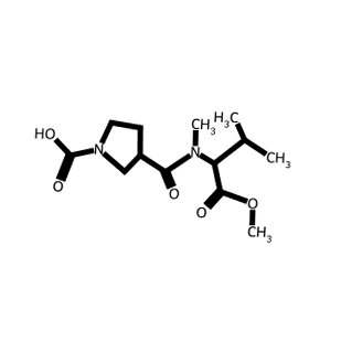 COC(=O)C(C(C)C)N(C)C(=O)C1CCN(C(=O)O)C1